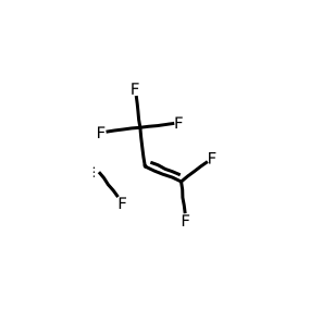 FC(F)=CC(F)(F)F.[C]F